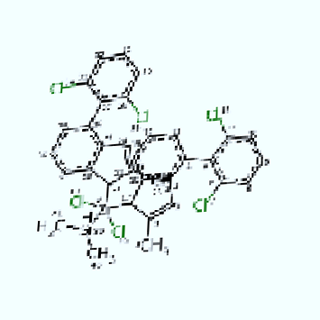 CC1=Cc2c(-c3c(Cl)cccc3Cl)cccc2[CH]1[Zr]([Cl])([Cl])([CH]1C(C)=Cc2c(-c3c(Cl)cccc3Cl)cccc21)[SiH](C)C